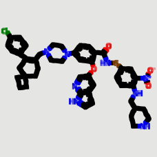 O=C(NSc1ccc(NCC2CCNCC2)c([N+](=O)[O-])c1)c1ccc(N2CCN(CC3=C(c4ccc(Cl)cc4)CC4(CCC4)CC3)CC2)cc1Oc1cnc2[nH]ccc2c1